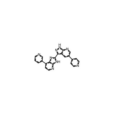 c1cncc(-c2ccnc3[nH]c(-c4n[nH]c5ncc(-c6ccncc6)cc45)nc23)c1